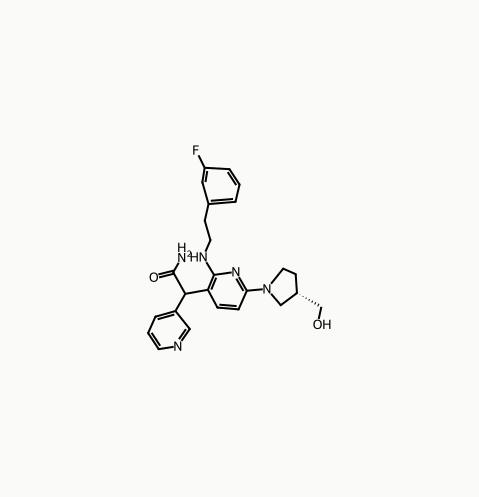 NC(=O)C(c1cccnc1)c1ccc(N2CC[C@H](CO)C2)nc1NCCc1cccc(F)c1